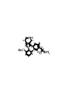 Cc1cccc(OCC(C)C)c1-n1nc2c(c1-c1ccc(CC(N)=O)c(F)c1)CNCC2